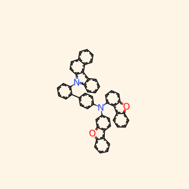 c1ccc(-n2c3ccccc3c3c4ccccc4ccc32)c(-c2ccc(N(c3ccc4c(c3)oc3ccccc34)c3cccc4oc5ccccc5c34)cc2)c1